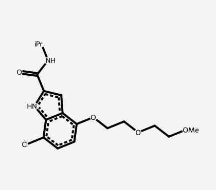 COCCOCCOc1ccc(Cl)c2[nH]c(C(=O)NC(C)C)cc12